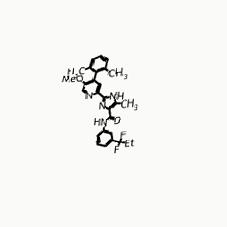 CCC(F)(F)c1cccc(NC(=O)c2nc(-c3cc(-c4c(C)cccc4C)c(OC)cn3)[nH]c2C)c1